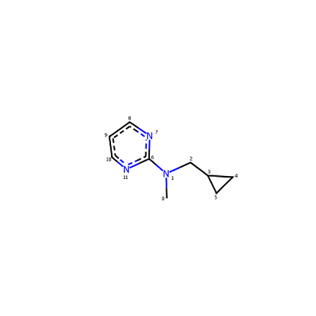 CN(CC1CC1)c1ncccn1